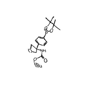 CC(C)(C)OC(=O)NC1(c2ccc(B3OC(C)(C)C(C)(C)O3)cc2)COC1